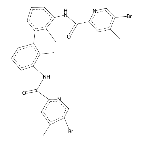 Cc1cc(C(=O)Nc2cccc(-c3cccc(NC(=O)c4cc(C)c(Br)cn4)c3C)c2C)ncc1Br